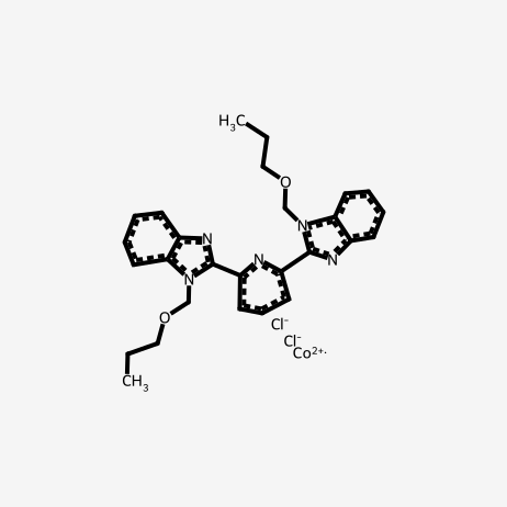 CCCOCn1c(-c2cccc(-c3nc4ccccc4n3COCCC)n2)nc2ccccc21.[Cl-].[Cl-].[Co+2]